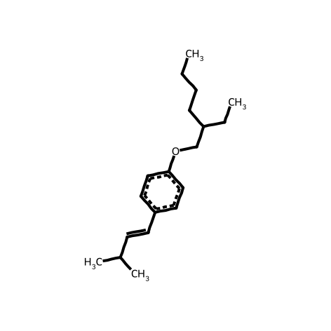 CCCCC(CC)COc1ccc(/C=C/C(C)C)cc1